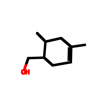 CC1=CCC(CO)C(C)C1